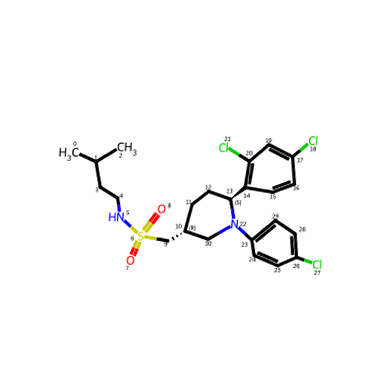 CC(C)CCNS(=O)(=O)C[C@@H]1CC[C@@H](c2ccc(Cl)cc2Cl)N(c2ccc(Cl)cc2)C1